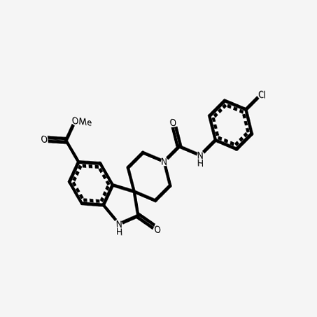 COC(=O)c1ccc2c(c1)C1(CCN(C(=O)Nc3ccc(Cl)cc3)CC1)C(=O)N2